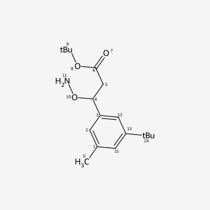 Cc1cc(C(CC(=O)OC(C)(C)C)ON)cc(C(C)(C)C)c1